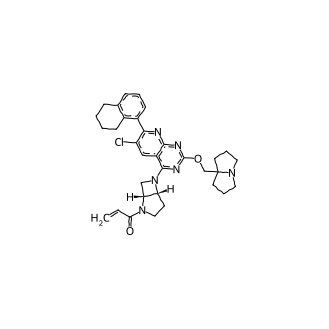 C=CC(=O)N1CC[C@@H]2[C@H]1CN2c1nc(OCC23CCCN2CCC3)nc2nc(-c3cccc4c3CCCC4)c(Cl)cc12